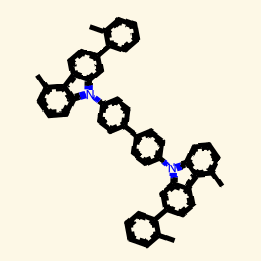 Cc1ccccc1-c1ccc2c3c(C)cccc3n(-c3ccc(-c4ccc(-n5c6cc(-c7ccccc7C)ccc6c6c(C)cccc65)cc4)cc3)c2c1